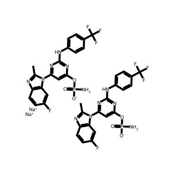 Cc1nc2ccc(F)cc2n1-c1cc(OP(N)(=O)[O-])nc(Nc2ccc(C(F)(F)F)cc2)n1.Cc1nc2ccc(F)cc2n1-c1cc(OP(N)(=O)[O-])nc(Nc2ccc(C(F)(F)F)cc2)n1.[Na+].[Na+]